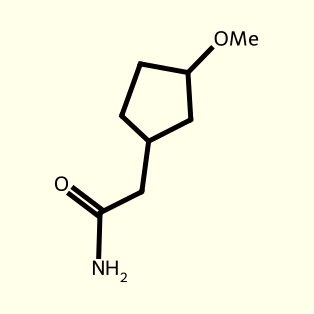 COC1CCC(CC(N)=O)C1